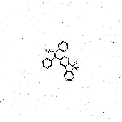 C/C(=C(\c1ccccc1)c1ccc2c(c1)-c1ccccc1S2(=O)=O)c1ccccc1